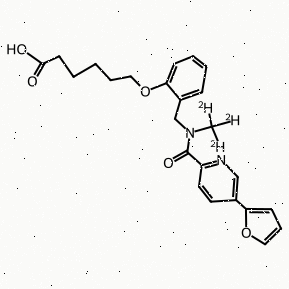 [2H]C([2H])([2H])N(Cc1ccccc1OCCCCCC(=O)O)C(=O)c1ccc(-c2ccco2)cn1